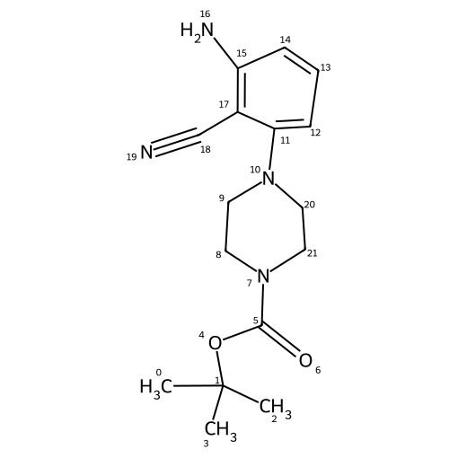 CC(C)(C)OC(=O)N1CCN(c2cccc(N)c2C#N)CC1